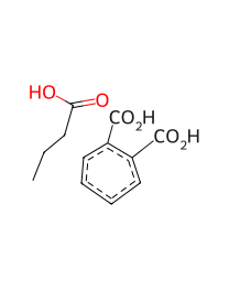 CCCC(=O)O.O=C(O)c1ccccc1C(=O)O